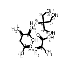 C=C(C)C(=O)O.C=C(CC(=O)O)C(=O)O.CC(CO)(CO)CO